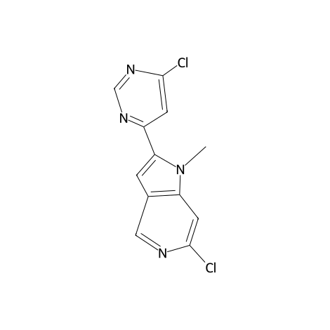 Cn1c(-c2cc(Cl)ncn2)cc2cnc(Cl)cc21